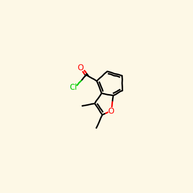 Cc1oc2cccc(C(=O)Cl)c2c1C